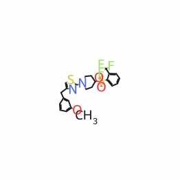 COc1cccc(Cc2csc(N3CCC(S(=O)(=O)c4ccccc4C(F)(F)F)CC3)n2)c1